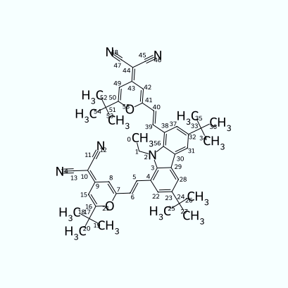 CCn1c2c(/C=C/C3=CC(=C(C#N)C#N)C=C(C(C)(C)C)O3)cc(C(C)(C)C)cc2c2cc(C(C)(C)C)cc(/C=C/C3=CC(=C(C#N)C#N)C=C(C(C)(C)C)O3)c21